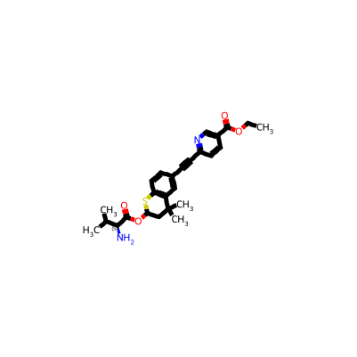 CCOC(=O)c1ccc(C#Cc2ccc3c(c2)C(C)(C)CC(OC(=O)[C@@H](N)C(C)C)S3)nc1